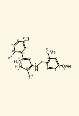 COc1ccc(CNC(/C=C(\N)c2cc(Cl)ccc2F)=C(/N)S)c(OC)c1